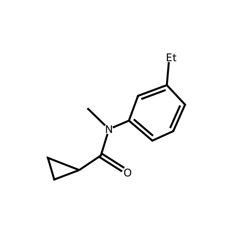 CCc1cccc(N(C)C(=O)C2CC2)c1